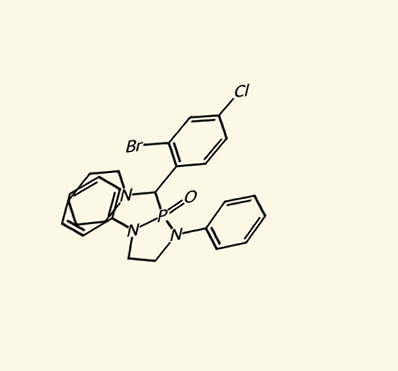 O=P1(C(c2ccc(Cl)cc2Br)N2CCCCC2)N(c2ccccc2)CCN1c1ccccc1